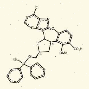 COc1ccc(C(=O)O)c(OC)c1[C@H]1C[C@@H](CO[Si](c2ccccc2)(c2ccccc2)C(C)(C)C)SC1n1cnc2c(Cl)ncnc21